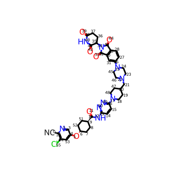 N#Cc1ncc(O[C@H]2CC[C@H](C(=O)Nc3ccc(N4CCC(CN5CCN(c6ccc7c(c6)C(=O)N(C6CCC(=O)NC6=O)C7=O)CC5)CC4)nn3)CC2)cc1Cl